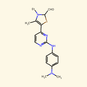 CCN1C(C)=C(c2ccnc(Nc3ccc(N(C)C)cc3)n2)SC1C=O